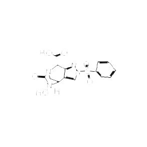 O=C(O)[C@@H]1c2nn(S(=O)(=O)c3ccccc3)cc2[C@@H]2CN1C(=O)N2O